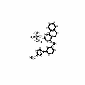 CS(=O)(=O)O.Cc1cn(-c2cccc(Nc3ncnc4c3CCc3ccccc3-4)c2)cn1